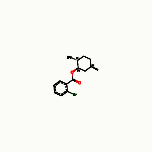 CC(C)[C@@H]1CC[C@@H](C)C[C@H]1OC(=O)c1ccccc1Br